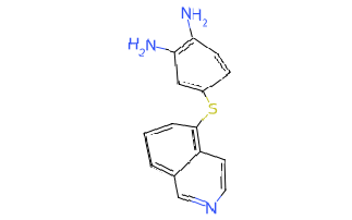 Nc1ccc(Sc2cccc3cnccc23)cc1N